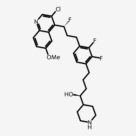 COc1ccc2ncc(Cl)c([C@H](F)CCc3ccc(CCC[C@H](O)C4CCNCC4)c(F)c3F)c2c1